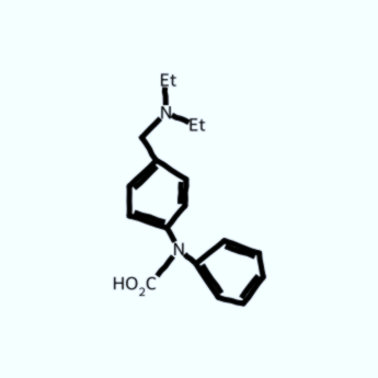 CCN(CC)Cc1ccc(N(C(=O)O)c2ccccc2)cc1